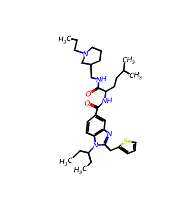 CCCN1CCCC(CNC(=O)C(CCC(C)C)NC(=O)c2ccc3c(c2)nc(Cc2cccs2)n3C(CC)CC)C1